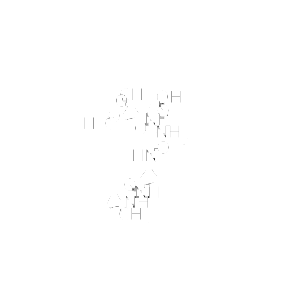 COc1ccc(C(CC(=O)O)NC(=O)C(N)CC(=O)NCc2ccc(NC(=O)Nc3ccccc3C)cc2)cc1OC